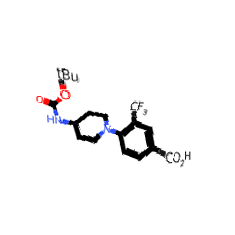 CC(C)(C)OC(=O)NC1CCN(c2ccc(C(=O)O)cc2C(F)(F)F)CC1